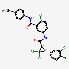 CC(=O)Nc1ccc(NC(=O)c2cc(NC(=O)[C@H]3[C@H](c4ccc(F)c(Cl)c4)C3(Cl)Cl)ccc2Cl)cc1